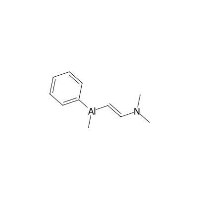 CN(C)C=[CH][Al]([CH3])[c]1ccccc1